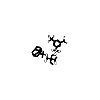 CCC(COS(=O)(=O)c1cc(C(F)F)cc(C(F)(F)F)c1)(C(C)=O)C(=O)OC(C)(C)C12CC3CC(CC(C3)C1)C2